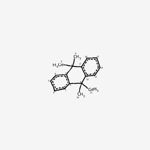 C[C]1([GeH3])c2ccccc2[C](C)([GeH3])c2ccccc21